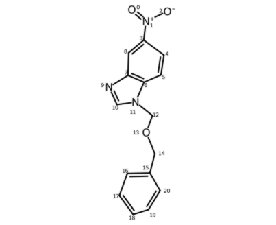 O=[N+]([O-])c1ccc2c(c1)ncn2COCc1ccccc1